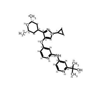 C[C@@H]1CC(c2nn(C3CC3)cc2Oc2ccnc(Nc3ccnc(C(C)(C)O)c3)c2)C[C@H](C)O1